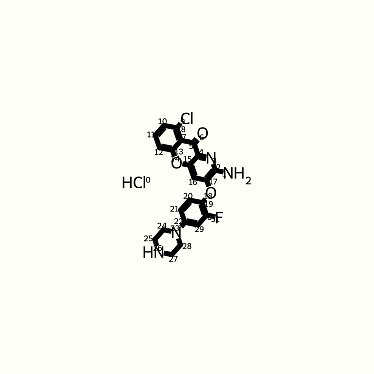 Cl.Nc1nc2c(=O)c3c(Cl)cccc3oc2cc1Oc1ccc(N2CCNCC2)cc1F